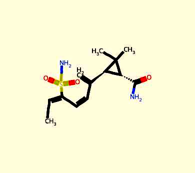 C=C(/C=C\C(=C/C)S(N)(=O)=O)[C@@H]1[C@@H](C(N)=O)C1(C)C